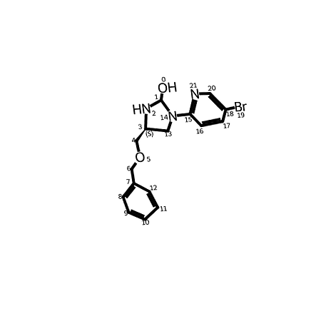 OC1N[C@H](COCc2ccccc2)CN1c1ccc(Br)cn1